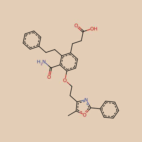 Cc1oc(-c2ccccc2)nc1CCOc1ccc(CCC(=O)O)c(CCc2ccccc2)c1C(N)=O